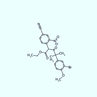 CCOC(=O)C(C(=O)C(C)(C)c1ccc(OC)c(Br)c1)c1ccc(C#N)cc1[N+](=O)[O-]